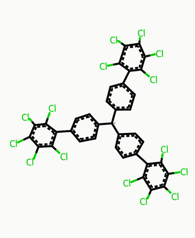 Clc1c(Cl)c(Cl)c(-c2ccc([C](c3ccc(-c4c(Cl)c(Cl)c(Cl)c(Cl)c4Cl)cc3)c3ccc(-c4c(Cl)c(Cl)c(Cl)c(Cl)c4Cl)cc3)cc2)c(Cl)c1Cl